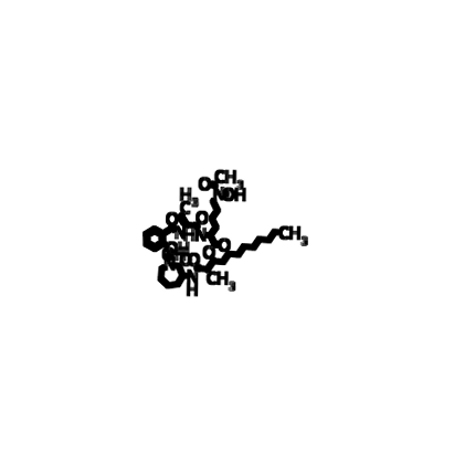 CCCCCCCCCC(OC(=O)C(CCCCN(O)C(C)=O)NC(=O)c1nc(-c2ccccc2O)oc1C)C(C)C(=O)NC1CCCCN(O)C1=O